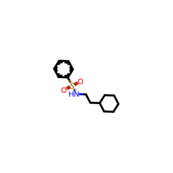 O=S(=O)(NCCC1CCCCC1)c1ccccc1